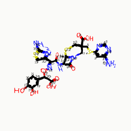 Nc1cc(SCC2(C(=O)O)CS[C@@H]3C(NC(=O)C(=NO[C@@H](C(=O)O)c4ccc(O)c(O)c4)c4csc(N)n4)C(=O)N3C2)ncn1